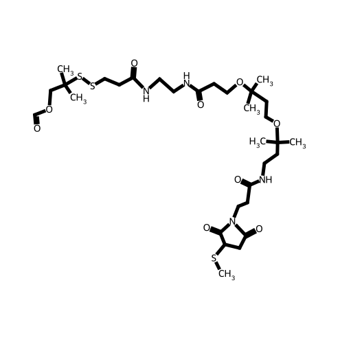 CSC1CC(=O)N(CCC(=O)NCCC(C)(C)OCCC(C)(C)OCCC(=O)NCCNC(=O)CCSSC(C)(C)COC=O)C1=O